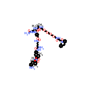 CC(C)[C@H](NC(=O)CCOCCOCCOCCOCCNC(=O)CCC(=O)N1Cc2ccccc2C#Cc2ccccc21)C(=O)N[C@@H](CCCNC(N)=O)C(=O)Nc1ccc(COC(=O)NCCCC[C@H](N)C(=O)Nc2ccc3c(c2)[C@@]2(C)CCC[C@](C)(C(=O)NC(=O)[C@@]4(C)CCC[C@]5(C)c6cc(N)ccc6CC[C@@H]45)[C@@H]2CC3)cc1